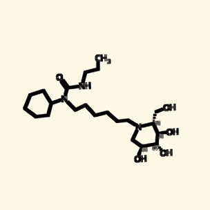 CCCNC(=O)N(CCCCCCN1C[C@H](O)[C@@H](O)[C@H](O)[C@H]1CO)C1CCCCC1